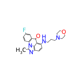 Cc1nc2ccc(NCCCN3CCOCC3)c3c(=O)c4cc(F)ccc4n1c23